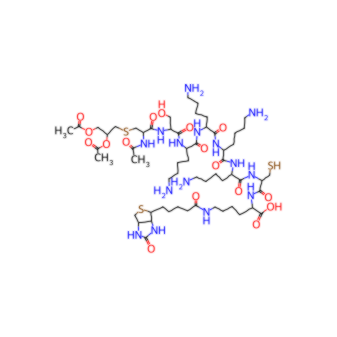 CC(=O)NC(CSCC(COC(C)=O)OC(C)=O)C(=O)NC(CO)C(=O)NC(CCCCN)C(=O)NC(CCCCN)C(=O)NC(CCCCN)C(=O)NC(CCCCN)C(=O)NC(CS)C(=O)NC(CCCCNC(=O)CCCCC1SCC2NC(=O)NC21)C(=O)O